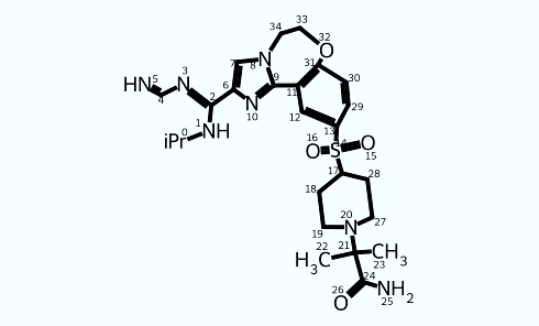 CC(C)N/C(=N\C=N)c1cn2c(n1)-c1cc(S(=O)(=O)C3CCN(C(C)(C)C(N)=O)CC3)ccc1OCC2